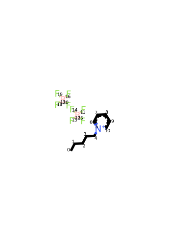 CCCCC[n+]1ccccc1.F[B-](F)(F)F.F[B-](F)(F)F